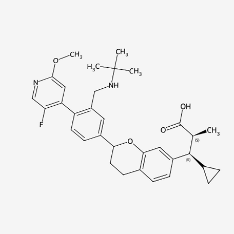 COc1cc(-c2ccc(C3CCc4ccc([C@H](C5CC5)[C@H](C)C(=O)O)cc4O3)cc2CNC(C)(C)C)c(F)cn1